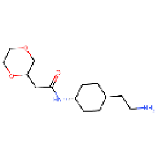 NCC[C@H]1CC[C@H](NC(=O)CC2COCCO2)CC1